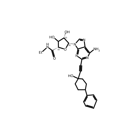 CCNC(=O)[C@H]1O[C@@H](n2cnc3c(N)nc(C#CC4(O)CCC(c5ccccc5)CC4)nc32)[C@@H](O)C1O